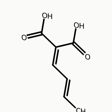 CC=CC=C(C(=O)O)C(=O)O